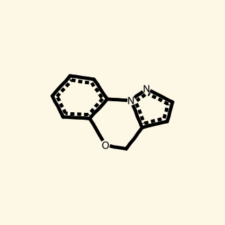 c1ccc2c(c1)OCc1ccnn1-2